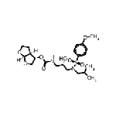 COc1ccc(S(=O)(=O)N(CC(C)C)C[C@@H](O)CNC(=O)O[C@H]2CO[C@H]3OCC[C@H]32)cc1